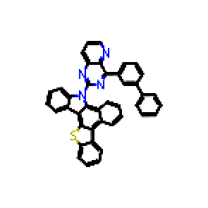 c1ccc(-c2cccc(-c3nc(-n4c5ccccc5c5c6sc7ccccc7c6c6ccccc6c54)nc4cccnc34)c2)cc1